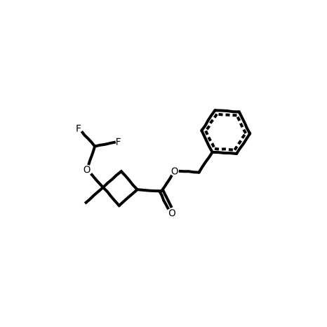 CC1(OC(F)F)CC(C(=O)OCc2ccccc2)C1